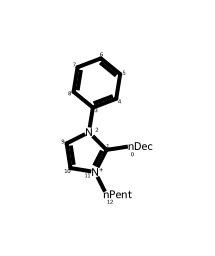 CCCCCCCCCCc1n(-c2ccccc2)cc[n+]1CCCCC